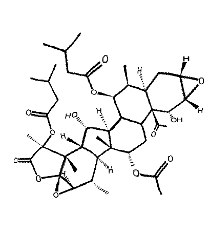 CC(=O)O[C@H]1CC2C([C@@H](OC(=O)CC(C)C)[C@@H](C)[C@H]3C[C@@H]4O[C@@H]4[C@H](O)[C@]23C(C)=O)[C@@H]2[C@@H](O)[C@@H]3[C@H]([C@H](C)[C@H]4O[C@]45OC(=O)[C@@](C)(OC(=O)CC(C)C)[C@]35C)[C@@]12C